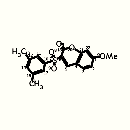 COc1ccc2cc(S(=O)(=O)c3cc(C)cc(C)c3)c(=O)oc2c1